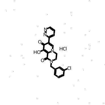 Cl.O=C1c2c(O)c(=O)c(-c3cccnn3)cn2CCN1Cc1cccc(Cl)c1